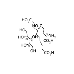 N[C@@H](CCC(=O)O)C(=O)O.O=C(O)CCCCCCCCC(=O)O.OC[C@@H](O)[C@H](O)[C@@H](O)CO